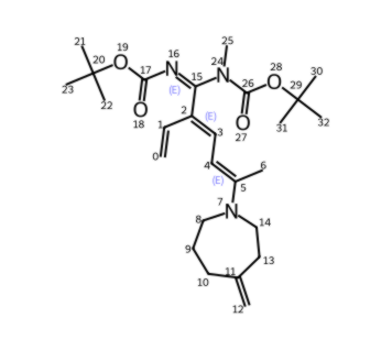 C=CC(=C\C=C(/C)N1CCCC(=C)CC1)/C(=N\C(=O)OC(C)(C)C)N(C)C(=O)OC(C)(C)C